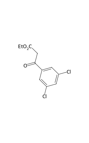 CCOC(=O)CC(=O)c1cc(Cl)cc(Cl)c1